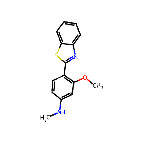 CNc1ccc(-c2nc3ccccc3s2)c(OC)c1